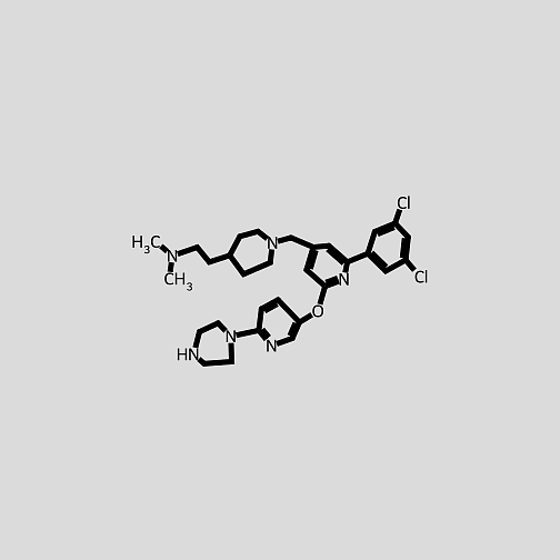 CN(C)CCC1CCN(Cc2cc(Oc3ccc(N4CCNCC4)nc3)nc(-c3cc(Cl)cc(Cl)c3)c2)CC1